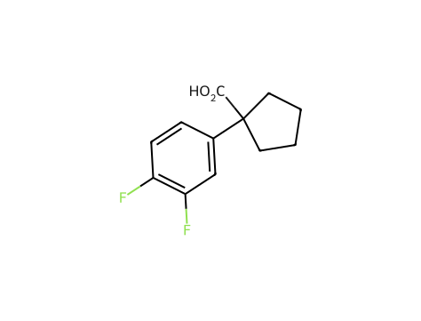 O=C(O)C1(c2ccc(F)c(F)c2)CCCC1